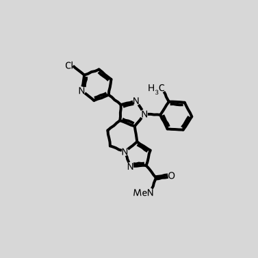 CNC(=O)c1cc2n(n1)CCc1c(-c3ccc(Cl)nc3)nn(-c3ccccc3C)c1-2